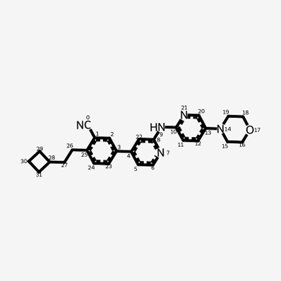 N#Cc1cc(-c2ccnc(Nc3ccc(N4CCOCC4)cn3)c2)ccc1CCC1CCC1